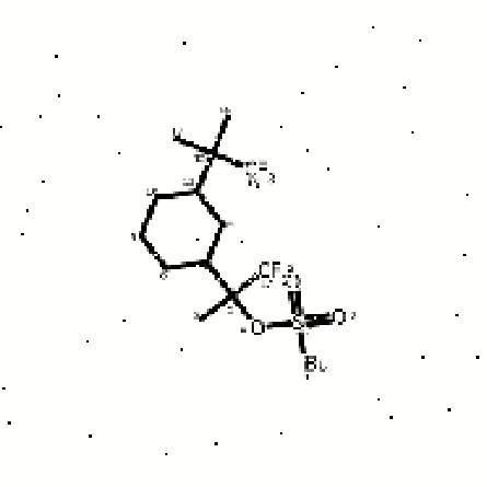 CCC(C)S(=O)(=O)OC(C)(C1CCCC(C(C)(C)C(F)(F)F)C1)C(F)(F)F